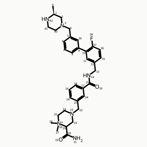 C[C@H]1CN(Cc2cccc(-c3cc(CNC(=O)c4cccc(CN5CC[N+](C)(C)C(C(N)=O)C5)c4)ccc3F)c2)CCN1